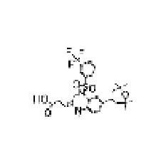 CN1c2ccc(C3CC(C)(C)OC(C)(C)C3)cc2N(S(=O)(=O)c2cccc(C(F)(F)F)c2)C[C@@H]1CCC(=O)O